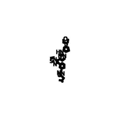 CC(C)Cc1nc(-c2cccc(-c3nc4sccn4c3-c3ccnc(Nc4cccc(N5CCOCC5)c4)n3)c2)no1